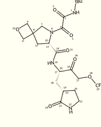 CC(C)(C)NC(=O)C(=O)N1CC2(COC2)C[C@H]1C(=O)N[C@@H](C[C@@H]1CCNC1=O)C(=O)COC(F)(F)F